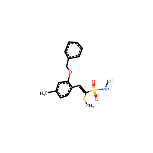 CNS(=O)(=O)/C(=C/c1ccc(C)cc1OCc1ccccc1)SC